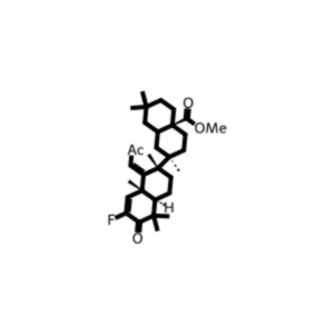 COC(=O)[C@]12CCC(C)(C)CC1C[C@](C)([C@]1(C)CC[C@H]3C(C)(C)C(=O)C(F)=C[C@]3(C)/C1=C/C(C)=O)CC2